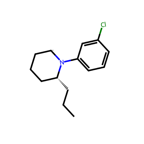 CCC[C@@H]1CCC[CH]N1c1cccc(Cl)c1